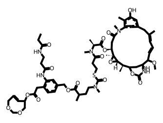 CCC(=O)NCCC(=O)Nc1cc(COC(=O)C(C)CCN(C)C(=O)SCCC(=O)N(C)[C@@H](C)C(=O)O[C@H]2CC(=O)N(C)c3cc(cc(O)c3C)C/C(C)=C/C=C/C(OC)C3(O)CC(OC(=O)N3)[C@@H](C)[C@@H]3O[C@@]23C)ccc1CC(=O)OC1/C=C/COCOC1